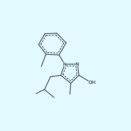 Cc1ccccc1-n1nc(O)c(C)c1CC(C)C